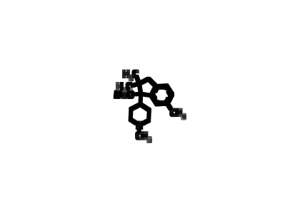 COC1(C2CCN(C)CC2)c2cc(C)ccc2CC1(C)C